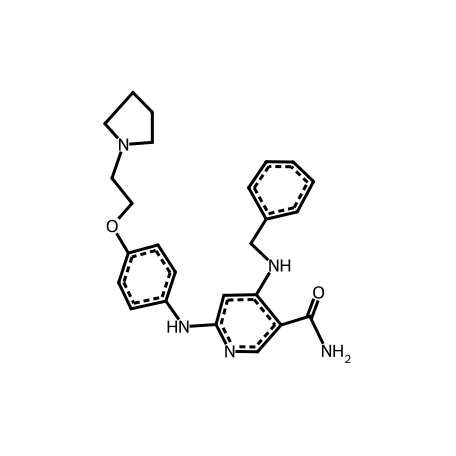 NC(=O)c1cnc(Nc2ccc(OCCN3CCCC3)cc2)cc1NCc1ccccc1